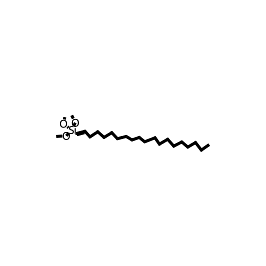 CCCCCCCCCCCCCCCCCCC=C[Si](OC)(OC)OC